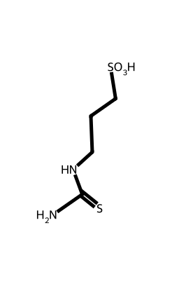 NC(=S)NCCCS(=O)(=O)O